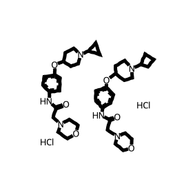 Cl.Cl.O=C(CN1CCOCC1)Nc1ccc(OC2CCN(C3CC3)CC2)cc1.O=C(CN1CCOCC1)Nc1ccc(OC2CCN(C3CCC3)CC2)cc1